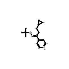 CC(C)(C)SN=C(CCC1CC1)c1ccncc1